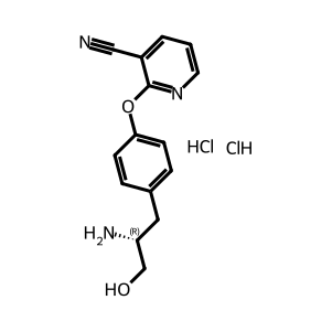 Cl.Cl.N#Cc1cccnc1Oc1ccc(C[C@@H](N)CO)cc1